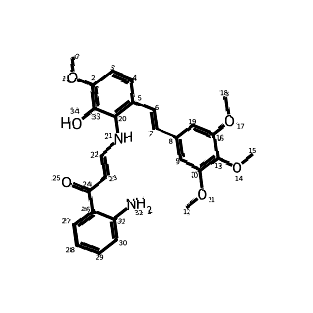 COc1ccc(C=Cc2cc(OC)c(OC)c(OC)c2)c(NC=CC(=O)c2ccccc2N)c1O